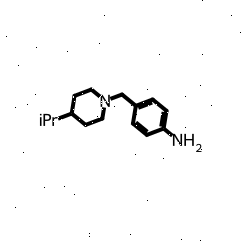 CC(C)C1CCN(Cc2ccc(N)cc2)CC1